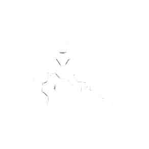 OCCCNCC1CC(c2c(-c3ccc(F)cc3)[nH]c3c(F)cc(F)cc23)C1